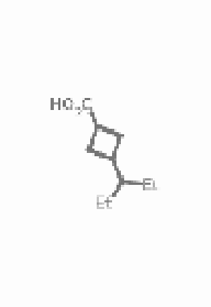 CCC(CC)C1CC(C(=O)O)C1